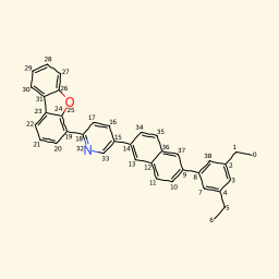 CCc1cc(CC)cc(-c2ccc3cc(-c4ccc(-c5cccc6c5oc5ccccc56)nc4)ccc3c2)c1